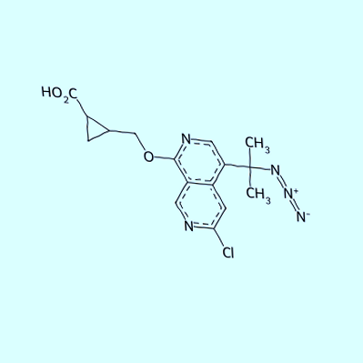 CC(C)(N=[N+]=[N-])c1cnc(OCC2CC2C(=O)O)c2cnc(Cl)cc12